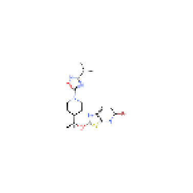 CC(C)c1noc(N2CCC([C@H](C)Oc3nc4c(s3)=NC(Br)CC=4)CC2)n1